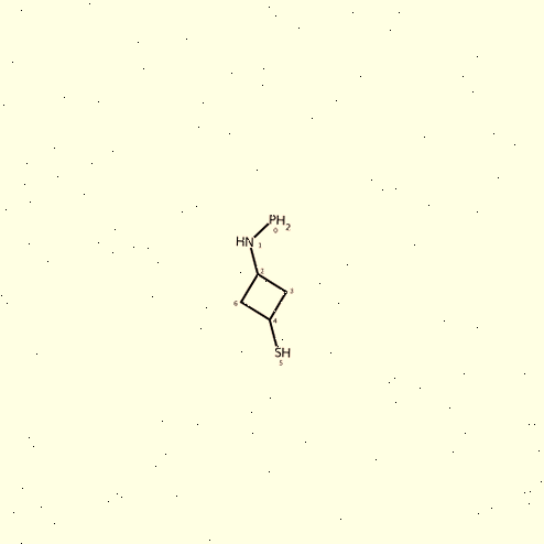 PNC1CC(S)C1